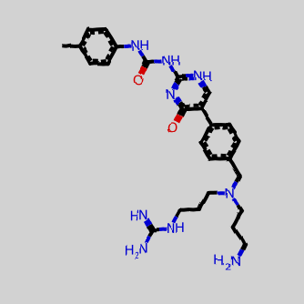 Cc1ccc(NC(=O)Nc2nc(=O)c(-c3ccc(CN(CCCN)CCCNC(=N)N)cc3)c[nH]2)cc1